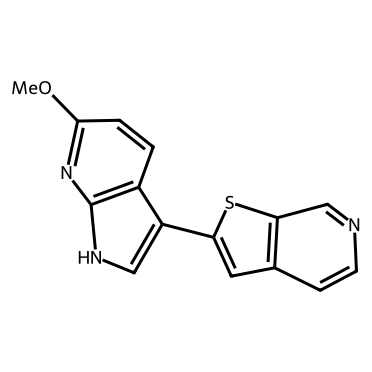 COc1ccc2c(-c3cc4ccncc4s3)c[nH]c2n1